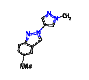 CNc1ccc2nn(-c3cnn(C)c3)cc2c1